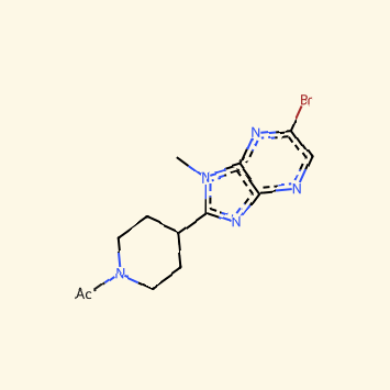 CC(=O)N1CCC(c2nc3ncc(Br)nc3n2C)CC1